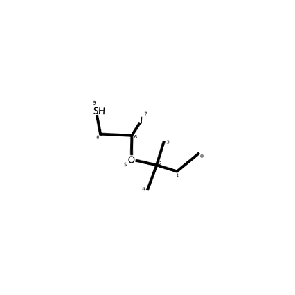 CCC(C)(C)OC(I)CS